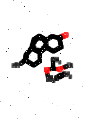 C=C.CCCC1=Cc2ccc3c(c2CC1)CCC(=O)C3.CCOC(C)OCC